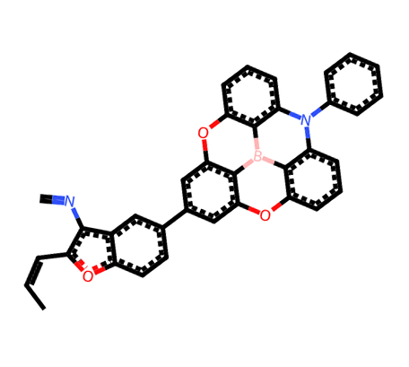 C=Nc1c(/C=C\C)oc2ccc(-c3cc4c5c(c3)Oc3cccc6c3B5c3c(cccc3N6c3ccccc3)O4)cc12